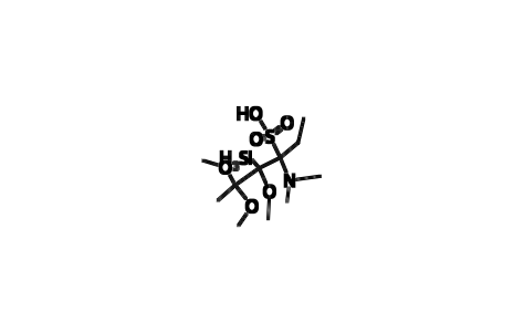 CCC(N(C)C)(C([SiH3])(OC)C(C)(OC)OC)S(=O)(=O)O